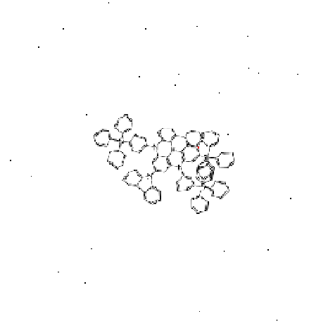 c1ccc(-c2cccc3c2B2c4ccc([Si](c5ccccc5)(c5ccccc5)c5ccccc5)cc4N(c4cccc([Si](c5ccccc5)(c5ccccc5)c5ccccc5)c4)c4cc(-n5c6ccccc6c6ccccc65)cc(c42)N3c2ccc([Si](c3ccccc3)(c3ccccc3)c3ccccc3)cc2)cc1